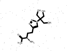 NC(=O)[C@H](N)CCc1cn(C(CO)(CO)CO)nn1